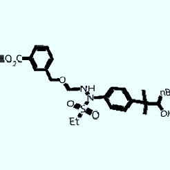 CCCCC(O)C(C)(C)c1ccc(N(NCOCc2cccc(C(=O)O)c2)S(=O)(=O)CC)cc1